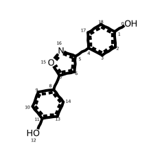 Oc1ccc(-c2cc(-c3ccc(O)cc3)on2)cc1